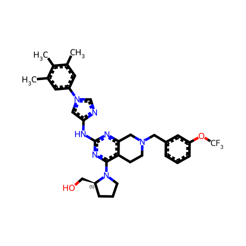 Cc1cc(-n2cnc(Nc3nc4c(c(N5CCC[C@H]5CO)n3)CCN(Cc3cccc(OC(F)(F)F)c3)C4)c2)cc(C)c1C